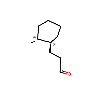 C[C@@H]1CCCC[C@H]1CCC=O